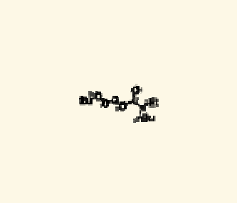 CCCCC(CC)C(=O)OOOOC(C)(C)C